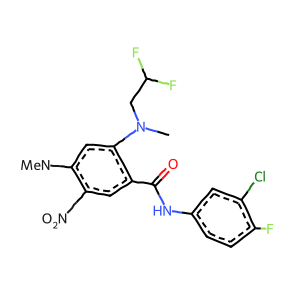 CNc1cc(N(C)CC(F)F)c(C(=O)Nc2ccc(F)c(Cl)c2)cc1[N+](=O)[O-]